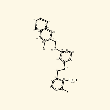 Cc1cccc(COc2cccc(OCc3nc4ccccc4nc3C)c2)c1C(=O)O